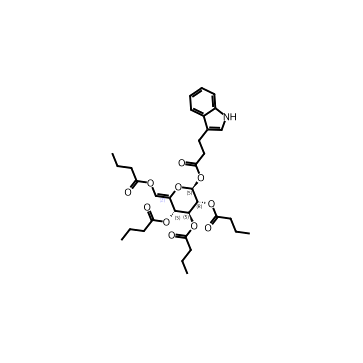 CCCC(=O)O/C=C1\O[C@@H](OC(=O)CCc2c[nH]c3ccccc23)[C@H](OC(=O)CCC)[C@@H](OC(=O)CCC)[C@@H]1OC(=O)CCC